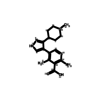 Cc1c(-c2c[nH]nc2C2CCN(C)CC2)cnc(N)c1C(=O)O